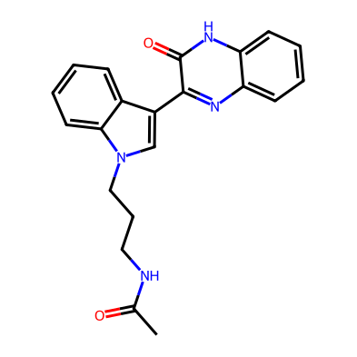 CC(=O)NCCCn1cc(-c2nc3ccccc3[nH]c2=O)c2ccccc21